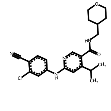 CC(C)c1cc(Nc2ccc(C#N)c(Cl)c2)ncc1C(=O)NCC1CCOCC1